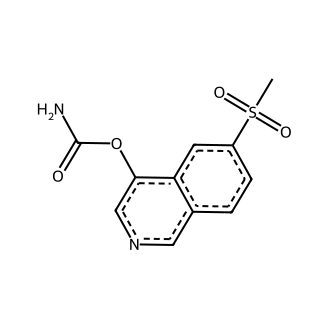 CS(=O)(=O)c1ccc2cncc(OC(N)=O)c2c1